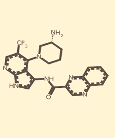 N[C@@H]1CCCN(c2c(C(F)(F)F)cnc3[nH]cc(NC(=O)c4cnc5ccccc5n4)c23)C1